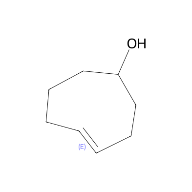 OC1CC/C=C/CCC1